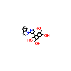 C[C@H]1CCN(c2cc(-c3c(CO)c(CO)cc4cc(CO)c(CO)cc34)ccn2)c2ccccc21